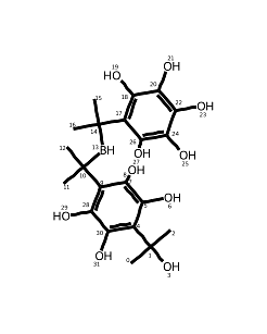 CC(C)(O)c1c(O)c(O)c(C(C)(C)BC(C)(C)c2c(O)c(O)c(O)c(O)c2O)c(O)c1O